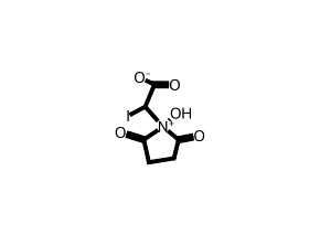 O=C([O-])C(I)[N+]1(O)C(=O)CCC1=O